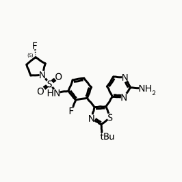 CC(C)(C)c1nc(-c2cccc(NS(=O)(=O)N3CC[C@H](F)C3)c2F)c(-c2ccnc(N)n2)s1